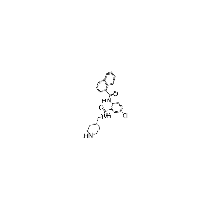 O=C(NCC1CCNCC1)c1cc(Cl)ccc1NC(=O)c1cccc2ccccc12